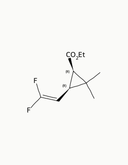 CCOC(=O)[C@@H]1[C@H](C=C(F)F)C1(C)C